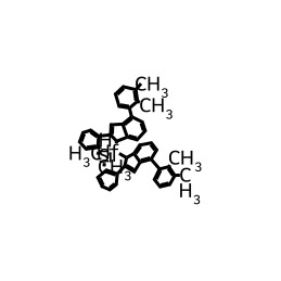 Cc1cccc(-c2cccc3c2C=C(c2ccccc2)[CH]3[Hf]([CH]2C(c3ccccc3)=Cc3c(-c4cccc(C)c4C)cccc32)[SiH](C)C)c1C